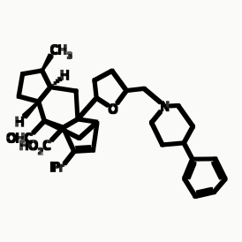 CC(C)C1=CC2CC3(C=O)[C@@H]4CC[C@@H](C)[C@H]4CC2(C2CCC(CN4CCC(c5ccccc5)CC4)O2)C13C(=O)O